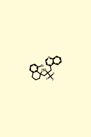 CC1(CC(O)(Cc2ccnc3ccccc23)C(F)(F)F)CCCc2cccc(Br)c21